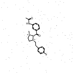 CC(=O)Nc1cccc(C(=O)N2[C@@H](CCc3ccc(F)cc3)CC[C@H]2C)c1